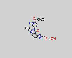 Cc1nc2cccc(NCCOCCO)c2c(=O)n1C1CCC(C(=O)C=O)NC1